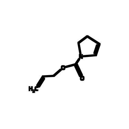 C=CCOC(=O)N1C=CCC1